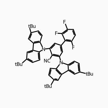 CC(C)(C)c1ccc2c(c1)c1cc(C(C)(C)C)ccc1n2-c1cc(-c2c(F)ccc(F)c2F)cc(-n2c3ccc(C(C)(C)C)cc3c3cc(C(C)(C)C)ccc32)c1C#N